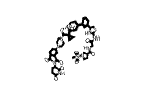 CS(=O)(=O)N1CCC(C(=O)NCC(=O)NC2NC(c3cccc(C4CCNC(C5(C(=O)N6CCN(c7ccc8c(c7)C(=O)N(C7CCC(=O)NC7=O)C8=O)CC6)CC5)C4)c3)CS2)C1